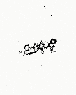 CC#CCn1c(N2CCC[C@@H](N)C2)nc2c1c(=O)n(CC1=Cc3ccccc3CN1O)c(=O)n2C